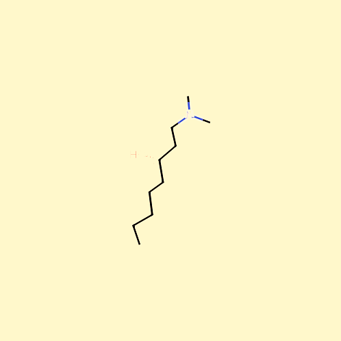 CCCCC[C@H](O)CCN(C)C